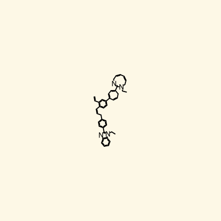 C=Cc1cc(C2=CC=C(/C3=N/C/C=C\C=C/CN3CC)CC=C2)ccc1/C=C\Cc1ccc(-c2nc3ccccc3n2CC)cc1